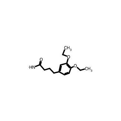 CCOc1ccc(CCCC([NH])=O)cc1OCC